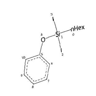 CCCCCC[Si](I)(I)Oc1ccccc1